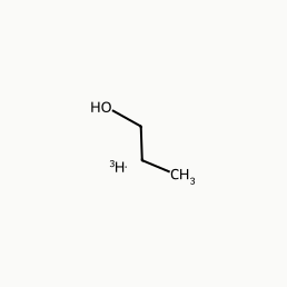 CCCO.[3H]